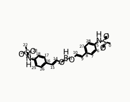 CS(=O)(=O)Nc1ccc(C=COBOC=Cc2ccc(NS(C)(=O)=O)cc2)cc1